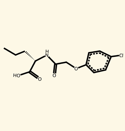 CCC[C@H](NC(=O)COc1ccc(Cl)cc1)C(=O)O